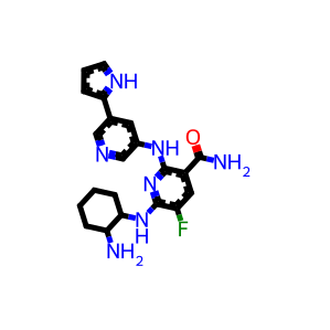 NC(=O)c1cc(F)c(NC2CCCCC2N)nc1Nc1cncc(-c2ccc[nH]2)c1